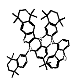 CC(C)(C)c1cc2c3c(c1)N(c1cccc4oc5ccccc5c14)c1cc4c(cc1B3c1c(sc3cc5c(cc13)C(C)(C)CCC5(C)C)N2c1ccc2c(c1)C(C)(C)CCC2(C)C)C(C)(C)CCC4(C)C